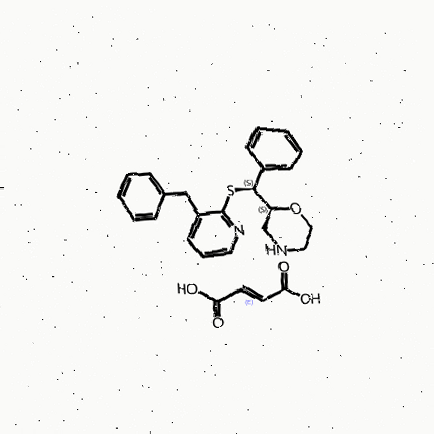 O=C(O)/C=C/C(=O)O.c1ccc(Cc2cccnc2S[C@@H](c2ccccc2)[C@@H]2CNCCO2)cc1